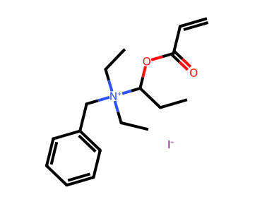 C=CC(=O)OC(CC)[N+](CC)(CC)Cc1ccccc1.[I-]